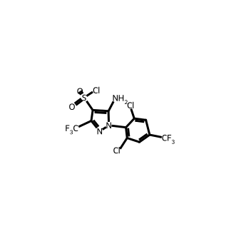 Nc1c(S(=O)(=O)Cl)c(C(F)(F)F)nn1-c1c(Cl)cc(C(F)(F)F)cc1Cl